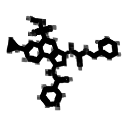 O=C(N[C@@H]1C[C@@H](NC(=O)c2cccnc2)C2=C1C=C(S(=O)(=O)NI)C1C=C(C3CC3)N=CC21)OCc1ccccc1